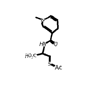 CC(=O)SCC(NC(=O)C1=CN(C)C=CC1)C(=O)O